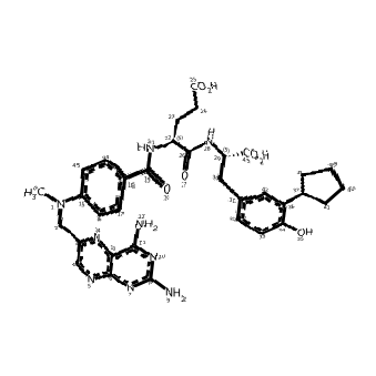 CN(Cc1cnc2nc(N)nc(N)c2n1)c1ccc(C(=O)N[C@@H](CCC(=O)O)C(=O)N[C@@H](Cc2ccc(O)c(C3CCCC3)c2)C(=O)O)cc1